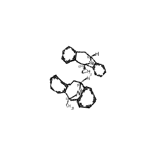 C[C@]12N[C@H](Cc3ccccc31)c1ccccc12.C[C@]12N[C@H](Cc3ccccc31)c1ccccc12